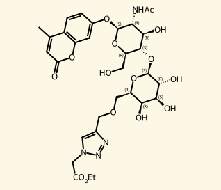 CCOC(=O)Cn1cc(COC[C@H]2O[C@@H](O[C@H]3[C@H](O)[C@@H](NC(C)=O)[C@H](Oc4ccc5c(C)cc(=O)oc5c4)O[C@@H]3CO)[C@H](O)[C@@H](O)[C@H]2O)nn1